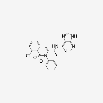 C[C@H](Nc1ncnc2[nH]cnc12)C1=Cc2cccc(Cl)c2S(=O)(=O)N1c1ccccc1